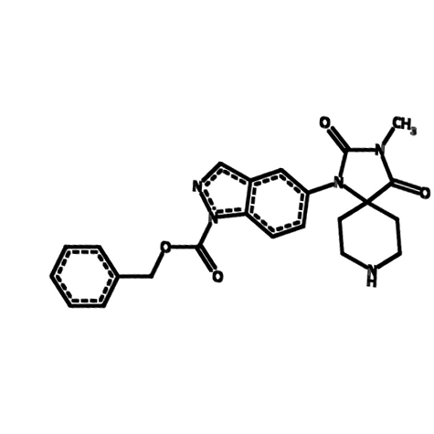 CN1C(=O)N(c2ccc3c(cnn3C(=O)OCc3ccccc3)c2)C2(CCNCC2)C1=O